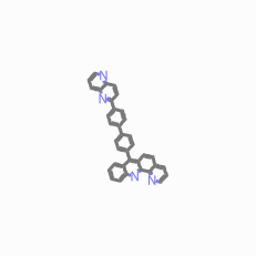 c1cnc2c(c1)ccc1c(-c3ccc(-c4ccc(-c5ccc6ncccc6n5)cc4)cc3)c3ccccc3nc12